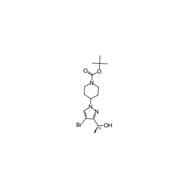 C[C@H](O)c1nn(C2CCN(C(=O)OC(C)(C)C)CC2)cc1Br